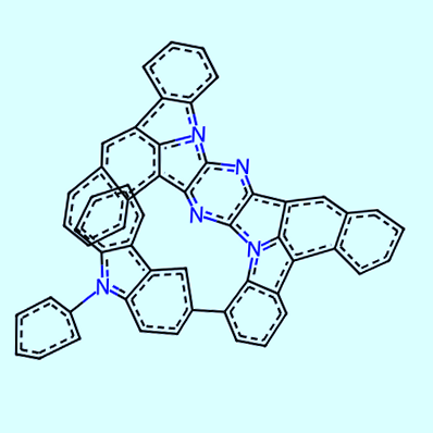 c1ccc(-n2c3ccccc3c3cc(-c4cccc5c6c7ccccc7cc7c8nc9c(nc8n(c45)c76)c4c5ccccc5cc5c6ccccc6n9c54)ccc32)cc1